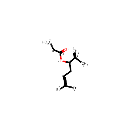 C=C(C)C(CC=C(CC)CC)OC(=O)CC(=O)O